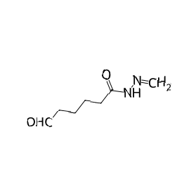 C=NNC(=O)CCCCC=O